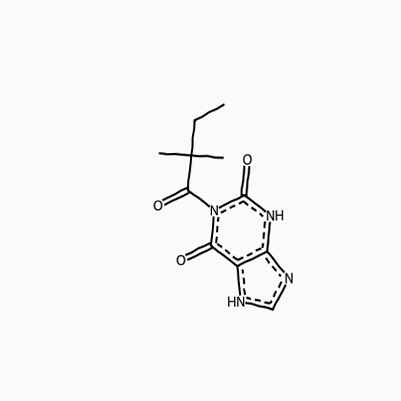 CCC(C)(C)C(=O)n1c(=O)[nH]c2nc[nH]c2c1=O